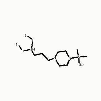 CCO[SiH](CCCN1CCN([Si](C)(C)C(C)(C)C)CC1)OCC